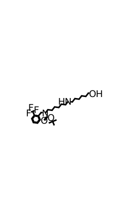 CC(C)(C)OC(=O)N(CCCCCCNCCCCCCO)Cc1ccccc1C(F)(F)F